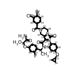 C[C@@H](Oc1ccc([C@@H](C)NC(=O)c2c3n(c(=O)n2-c2ccc(OC4CC4)cc2)CCN(C(=O)c2ccc(Br)c(Cl)c2)C3)c(F)c1)C(N)=O